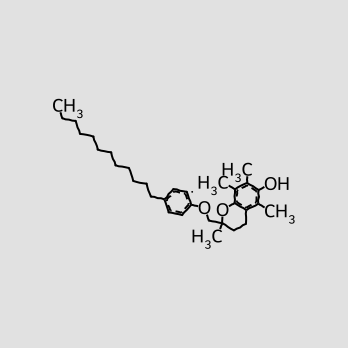 CCCCCCCCCCCCc1c[c]c(OCC2(C)CCc3c(C)c(O)c(C)c(C)c3O2)cc1